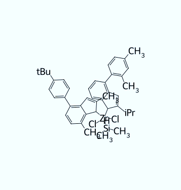 CC1=Cc2c(-c3ccc(C(C)(C)C)cc3)ccc(C)c2[CH]1[Zr]([Cl])([Cl])([CH]1C(C(C)C)=Cc2c(-c3ccc(C)cc3C)cccc21)[SiH](C)C